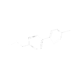 CCCSCc1ccc(-c2ccc(Cl)cc2)cc1